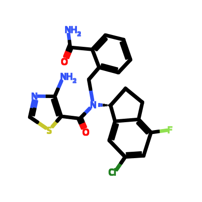 NC(=O)c1ccccc1CN(C(=O)c1scnc1N)[C@@H]1CCc2c(F)cc(Cl)cc21